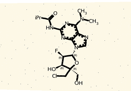 CC(C)C(=O)Nc1nc(N(C)C)c2ncn([C@@H]3O[C@@](CO)(CCl)[C@@H](O)[C@H]3F)c2n1